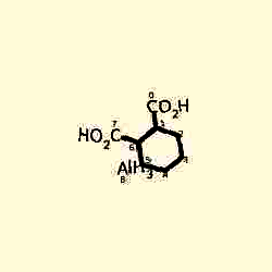 O=C(O)C1CCCCC1C(=O)O.[AlH3]